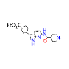 CCOC(=O)c1ccc(-c2c[nH]c3nc(NC(=O)C4CCN(C)CC4)ccc23)cc1